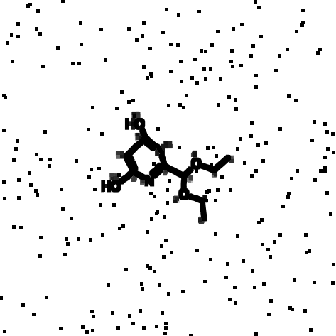 CCOC(OCC)c1nc(O)cc(O)n1